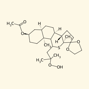 CC(=O)O[C@@H]1CC[C@]2(C)C3C(CC(C)(C)OO)S[C@@]4(C)[C@@H](CCC45OCCO5)[C@@H]3CC[C@@H]2C1